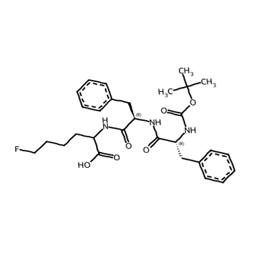 CC(C)(C)OC(=O)N[C@H](Cc1ccccc1)C(=O)N[C@H](Cc1ccccc1)C(=O)NC(CCCCF)C(=O)O